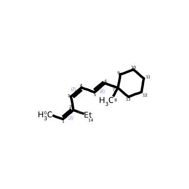 C\C=C(/C=C\C=C\C1(C)CCCCC1)CC